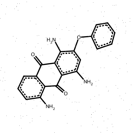 Nc1cccc2c1C(=O)c1c(N)cc(Oc3ccccc3)c(N)c1C2=O